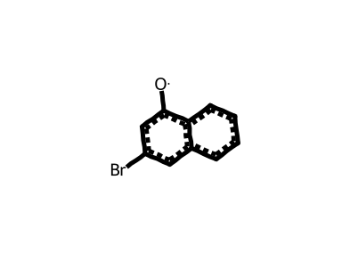 [O]c1cc(Br)cc2ccccc12